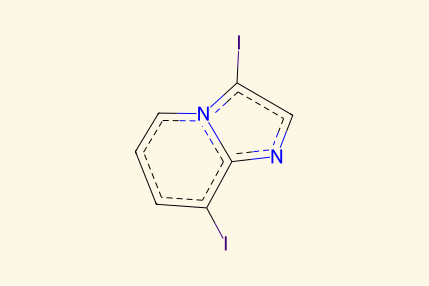 Ic1cccn2c(I)cnc12